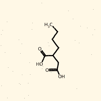 CCCCC(CC(=O)O)C(=O)O